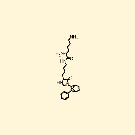 NCCCC[C@H](N)C(=O)NCCCC[C@@H]1NCN(C2C3CCC(C3)C2c2ccccc2)C1=O